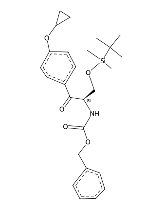 CC(C)(C)[Si](C)(C)OC[C@@H](NC(=O)OCc1ccccc1)C(=O)c1ccc(OC2CC2)cc1